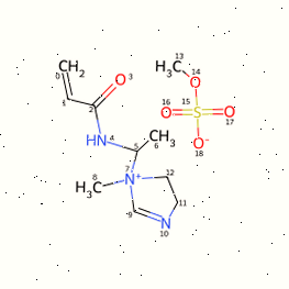 C=CC(=O)NC(C)[N+]1(C)C=NCC1.COS(=O)(=O)[O-]